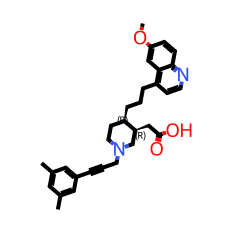 COc1ccc2nccc(CCC[C@@H]3CCN(CC#Cc4cc(C)cc(C)c4)C[C@@H]3CC(=O)O)c2c1